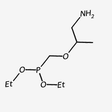 CCOP(COC(C)CN)OCC